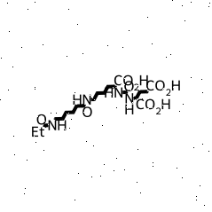 CCC(=O)NCCCCCC(=O)NCCCCC(NC(=O)NC(CCC(=O)O)C(=O)O)C(=O)O